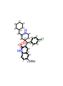 CSc1ccc2[nH]c(=O)c(C(c3ccc(Cl)cc3)C3(O)CCNC(CC4CCCCC4)C3)cc2c1